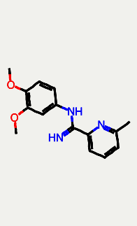 COc1ccc(NC(=N)c2cccc(C)n2)cc1OC